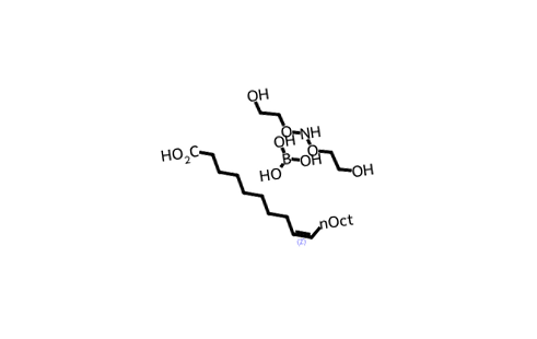 CCCCCCCC/C=C\CCCCCCCC(=O)O.OB(O)O.OCCONOCCO